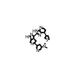 CN(C)c1cncc(-c2cc3c(-c4nc5c(-c6ccsc6)ccnc5[nH]4)n[nH]c3cn2)c1